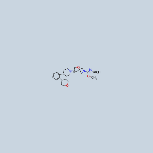 C#C/N=C(\OC)N1CC2(C[C@H](N3CCC(c4ccccc4C4CCOCC4)CC3)CO2)C1